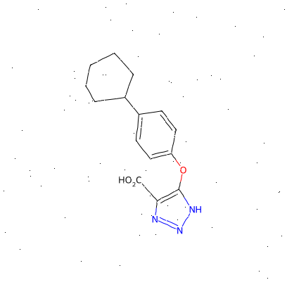 O=C(O)c1nn[nH]c1Oc1ccc(C2CCCCC2)cc1